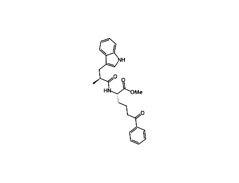 COC(=O)[C@H](CCCC(=O)c1ccccc1)NC(=O)[C@@H](C)Cc1c[nH]c2ccccc12